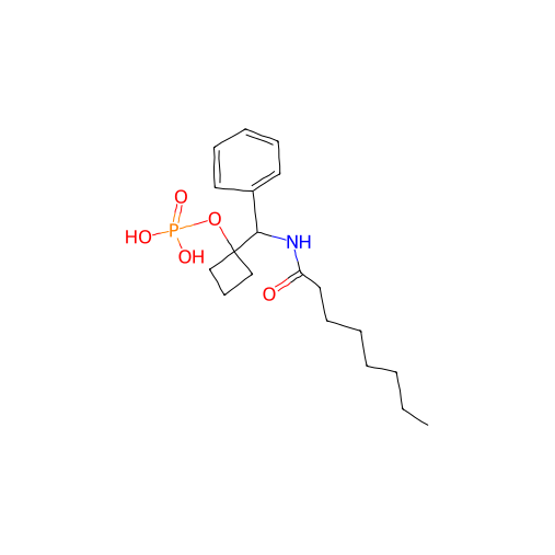 CCCCCCCC(=O)NC(c1ccccc1)C1(OP(=O)(O)O)CCC1